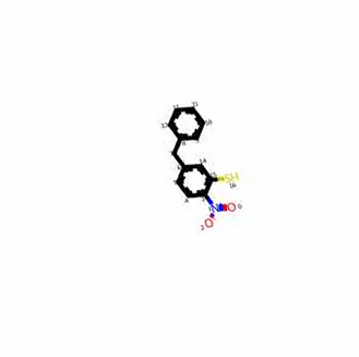 O=[N+]([O-])c1ccc(Cc2ccccc2)cc1S